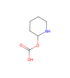 O=C(O)OC1CCCCN1